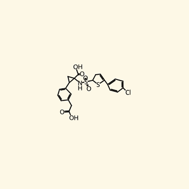 O=C(O)Cc1cccc(C2CC2(NS(=O)(=O)C2CC=C(c3ccc(Cl)cc3)S2)C(=O)O)c1